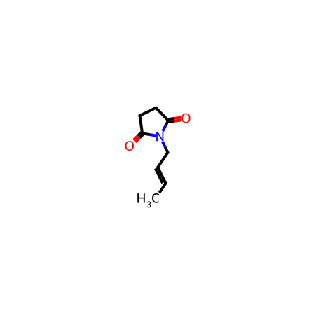 CC=CCN1C(=O)CCC1=O